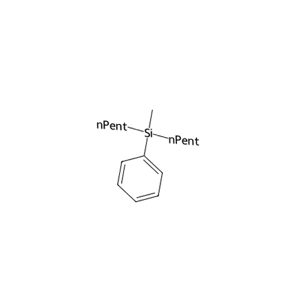 CCCCC[Si](C)(CCCCC)c1ccccc1